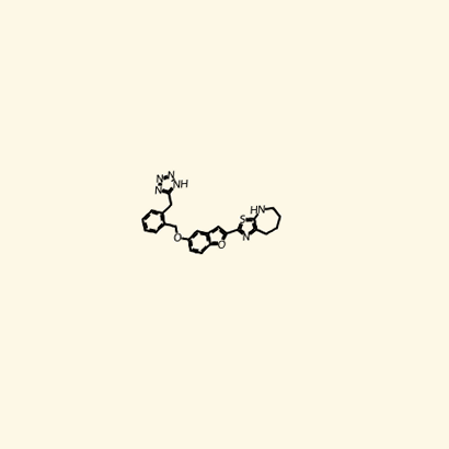 c1ccc(Cc2nnn[nH]2)c(COc2ccc3oc(-c4nc5c(s4)NCCCC5)cc3c2)c1